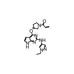 C=CC(=O)N1CC[C@@H](Oc2nc(Nc3cnn(CC)c3)nc3[nH]ccc23)C1